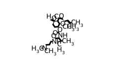 CO[C@@H]1[C@H](OC(=O)N[C@@H](C(=O)NCCCN(C)C)C(C)C)CC[C@]2(CO2)[C@H]1[C@@]1(C)O[C@@H]1CC=C(C)C